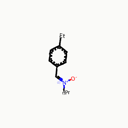 CCC/[N+]([O-])=C/c1ccc(CC)cc1